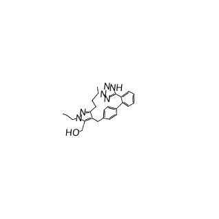 CCCCc1nn(CCC)c(CO)c1Cc1ccc(-c2ccccc2-c2nnn[nH]2)cc1